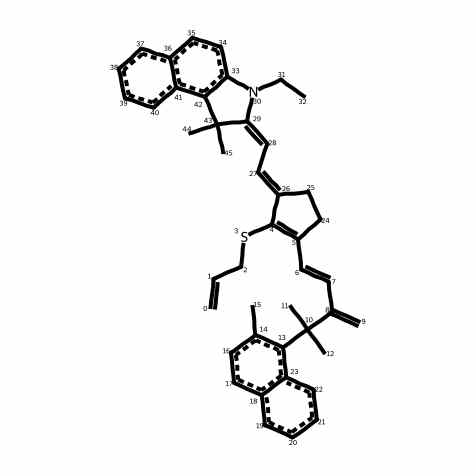 C=CCSC1=C(/C=C/C(=C)C(C)(C)c2c(C)ccc3ccccc23)CC/C1=C\C=C1\N(CC)c2ccc3ccccc3c2C1(C)C